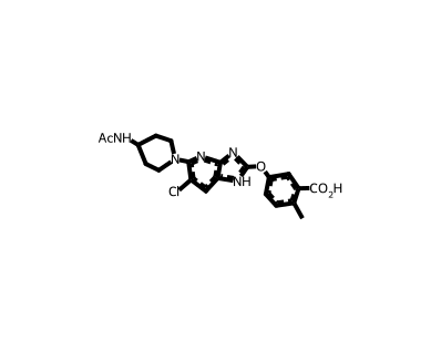 CC(=O)NC1CCN(c2nc3nc(Oc4ccc(C)c(C(=O)O)c4)[nH]c3cc2Cl)CC1